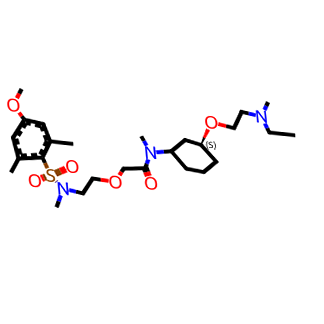 CCN(C)CCO[C@H]1CCCC(N(C)C(=O)COCCN(C)S(=O)(=O)c2c(C)cc(OC)cc2C)C1